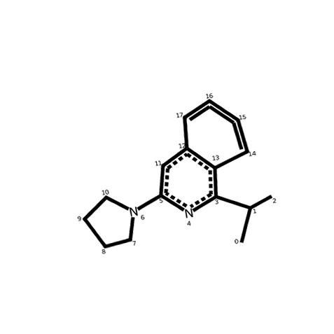 CC(C)c1nc(N2CCCC2)cc2c1C=C=C=C2